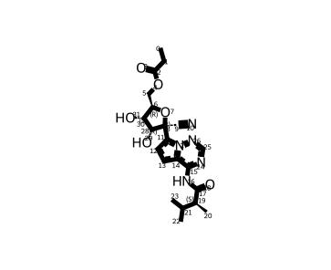 CCC(=O)OC[C@H]1O[C@@](C#N)(c2ccc3c(NC(=O)[C@@H](C)C(C)C)ncnn23)[C@H](O)[C@@H]1O